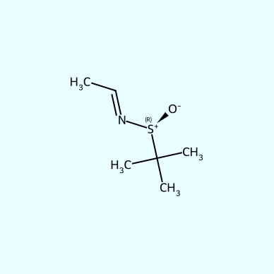 CC=N[S@@+]([O-])C(C)(C)C